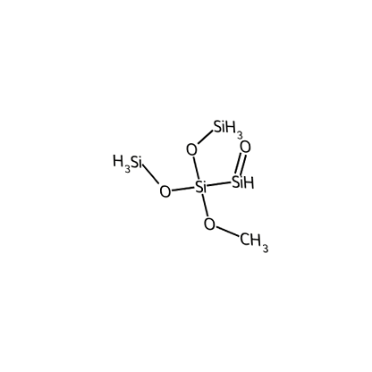 CO[Si](O[SiH3])(O[SiH3])[SiH]=O